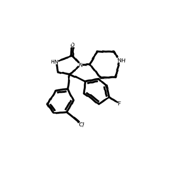 O=C1NCC(c2ccc(F)cc2)(c2cccc(Cl)c2)N1C1CCNCC1